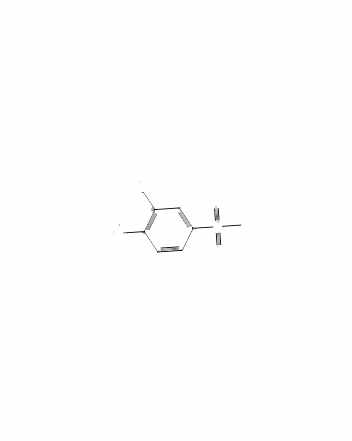 CS(=O)(=O)c1ccc(O)c(Cl)c1